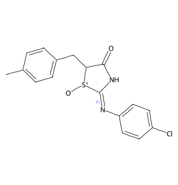 Cc1ccc(CC2C(=O)N/C(=N\c3ccc(Cl)cc3)[S+]2[O-])cc1